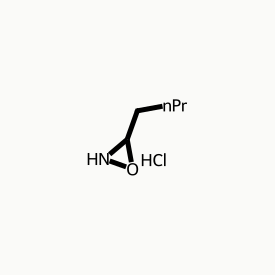 CCCCC1NO1.Cl